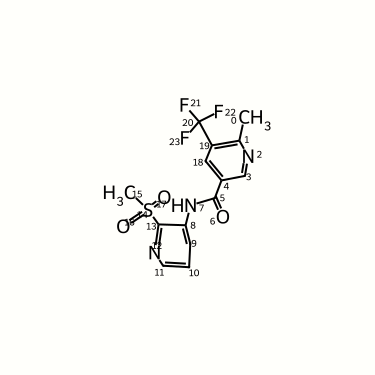 Cc1ncc(C(=O)Nc2cccnc2S(C)(=O)=O)cc1C(F)(F)F